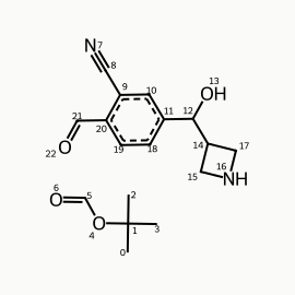 CC(C)(C)OC=O.N#Cc1cc(C(O)C2CNC2)ccc1C=O